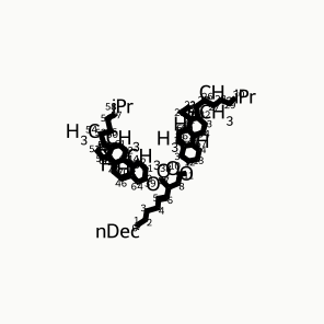 CCCCCCCCCCCCCC/C=C/C(CC(=O)O[C@H]1CC[C@@]2(C)C(=CC[C@H]3[C@@H]4CC[C@H]([C@H](C)CCCC(C)C)[C@@]4(C)CC[C@@H]32)C1)C(=O)O[C@H]1CC[C@@]2(C)C(=CC[C@H]3[C@@H]4CC[C@H]([C@H](C)CCCC(C)C)[C@@]4(C)CC[C@@H]32)C1